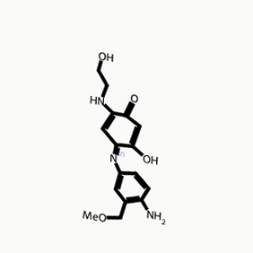 COCc1cc(/N=C2/C=C(NCCO)C(=O)C=C2O)ccc1N